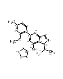 COc1nc(C)ccc1-c1cc(N[C@@H]2CCOC2)c2c(cnn2C(C)C)n1